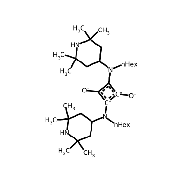 CCCCCCN(c1c([O-])[c+](N(CCCCCC)C2CC(C)(C)NC(C)(C)C2)[c+]1[O-])C1CC(C)(C)NC(C)(C)C1